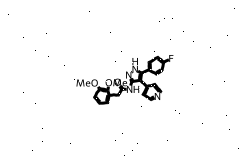 COc1cccc(CC(=O)Nc2n[nH]c(-c3ccc(F)cc3)c2-c2ccncc2)c1OC